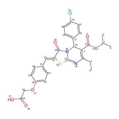 CCC1=C(C(=O)OC(C)C)C(c2ccc(Cl)cc2)n2c(s/c(=C\c3ccc(OCC(=O)O)cc3)c2=O)=N1